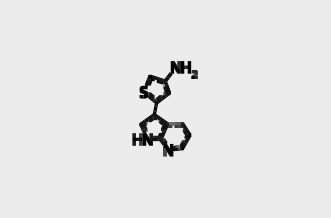 Nc1csc(-c2c[nH]c3ncccc23)c1